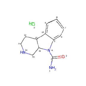 Cl.NC(=O)N1c2ccccc2C2CCNCC21